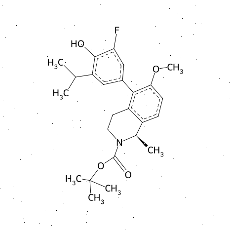 COc1ccc2c(c1-c1cc(F)c(O)c(C(C)C)c1)CCN(C(=O)OC(C)(C)C)[C@@H]2C